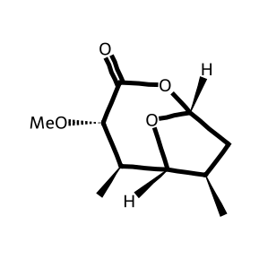 CO[C@@H]1C(=O)O[C@@H]2C[C@@H](C)[C@@H](O2)[C@H]1C